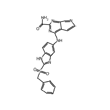 NC(=O)c1nc(Nc2ccc3[nH]c(S(=O)(=O)Cc4ccccc4)nc3c2)c2c[c]ncc2n1